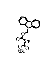 CC(C)(C)O[C](=O)[Sn][C](=O)OCC1c2ccccc2-c2ccccc21